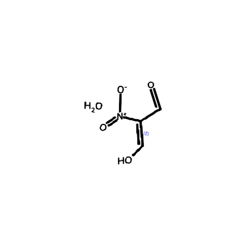 O.O=C/C(=C/O)[N+](=O)[O-]